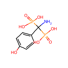 NC(c1ccc(O)cc1)(P(=O)(O)O)P(=O)(O)O